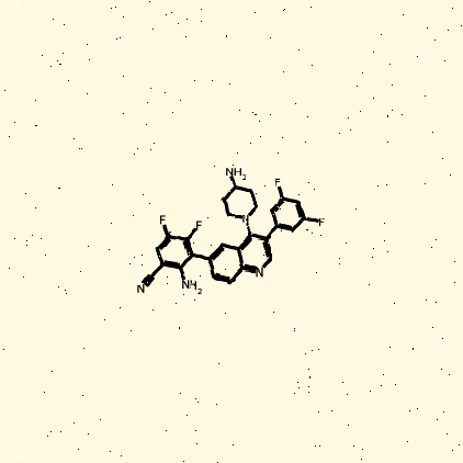 N#Cc1cc(F)c(F)c(-c2ccc3ncc(-c4cc(F)cc(F)c4)c(N4CCC(N)CC4)c3c2)c1N